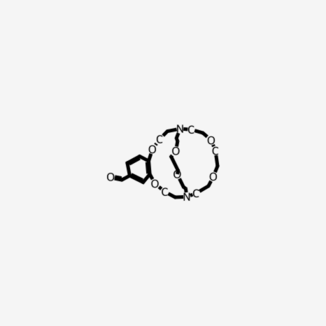 O=Cc1ccc2c(c1)OCCN1CCOCCOCCN(CCOCCOCC1)CCO2